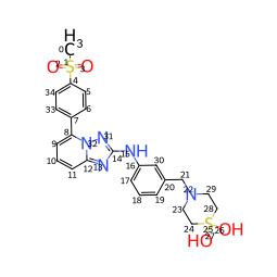 CS(=O)(=O)c1ccc(-c2cccc3nc(Nc4cccc(CN5CCS(O)(O)CC5)c4)nn23)cc1